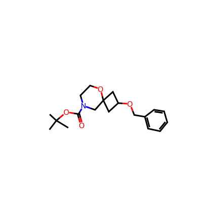 CC(C)(C)OC(=O)N1CCOC2(CC(OCc3ccccc3)C2)C1